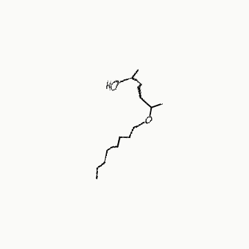 CCCCCCCCOC(C)CCC(C)O